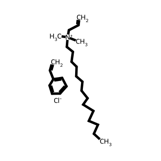 C=CC[N+](C)(C)CCCCCCCCCCCCCC.C=Cc1ccccc1.[Cl-]